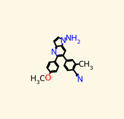 COc1ccc(-c2nc3ccn(N)c3cc2-c2ccc(C#N)c(C)c2)cc1